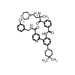 CC1(C)CCN(c2ccc(NC(=O)c3cccc(C(=O)C(C)(N)CCN4CCOCC4)c3)c(-c3cc(C(=O)NCc4cccc(C(F)(F)F)c4)ccn3)c2)CC1